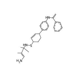 C=C(Nc1ccc(C2C=CC(SNC(C)(C)/C(C)=C/N)CC2)cc1)c1ccccc1